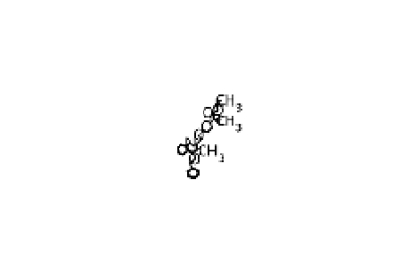 CCOC(=O)N(C)[C@H]1CC[C@H](OCc2nc3ccccc3c(OCc3ccccc3)c2C)CC1